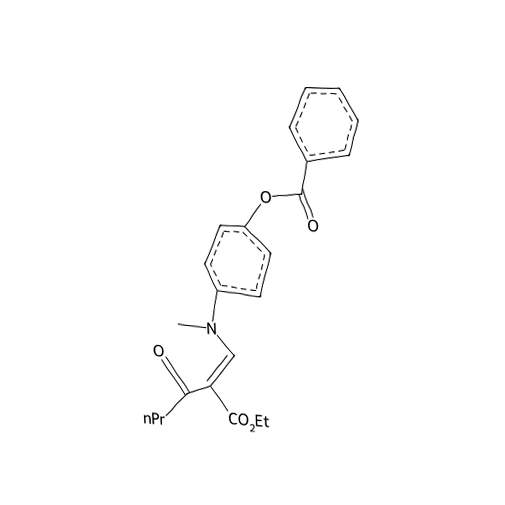 CCCC(=O)C(=CN(C)c1ccc(OC(=O)c2ccccc2)cc1)C(=O)OCC